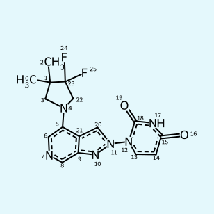 CC1(C)CN(c2cncc3nn(-n4ccc(=O)[nH]c4=O)cc23)CC1(F)F